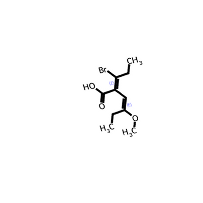 CC/C(Br)=C(\C=C(/CC)OC)C(=O)O